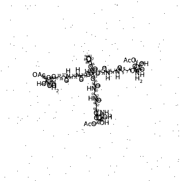 CC(=O)OCC1O[C@@H](OCCCCC(=O)NCCCNC(=O)CCOCC(COCCC(=O)NCCCNC(=O)CCCCO[C@@H]2OC(COC(C)=O)[C@H](O)[C@H](O)C2N)(COCCC(=O)NCCCNC(=O)CCCCO[C@@H]2OC(COC(C)=O)[C@H](O)[C@H](O)C2N)NC(=O)OCc2ccccc2)[C@@H](N)C(O)[C@H]1O